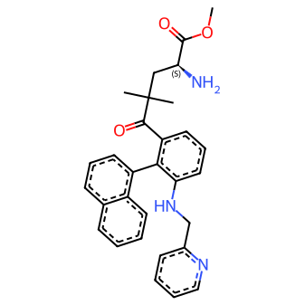 COC(=O)[C@@H](N)CC(C)(C)C(=O)c1cccc(NCc2ccccn2)c1-c1cccc2ccccc12